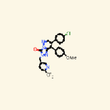 COc1ccc(-c2c(-c3ccc(Cl)cc3)cnn3c(=O)n(Cc4ccc(C(F)(F)F)nc4)nc23)cc1